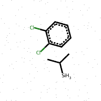 CC(C)[SiH3].Clc1ccccc1Cl